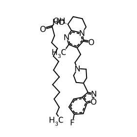 CCCCCCCCCCCCCC(=O)O.Cc1nc2n(c(=O)c1CCN1CCC(c3noc4cc(F)ccc34)CC1)CCC[C@H]2O